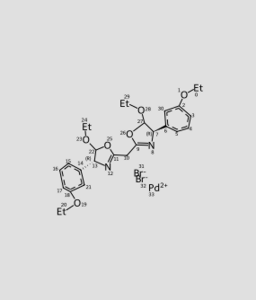 CCOc1cccc([C@H]2N=C(CC3=N[C@H](c4cccc(OCC)c4)C(OCC)O3)OC2OCC)c1.[Br-].[Br-].[Pd+2]